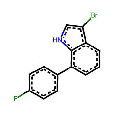 Fc1ccc(-c2cccc3c(Br)c[nH]c23)cc1